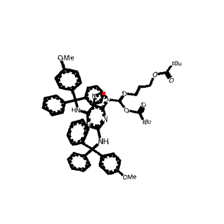 COc1ccc(C(Nc2nc(NC(c3ccccc3)(c3ccccc3)c3ccc(OC)cc3)c3ncn(C(OCCCOC(=O)C(C)(C)C)OC(=O)C(C)(C)C)c3n2)(c2ccccc2)c2ccccc2)cc1